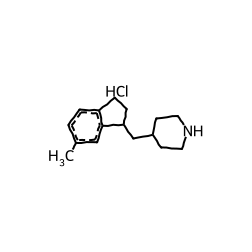 Cc1ccc2c(c1)C(CC1CCNCC1)CC2.Cl